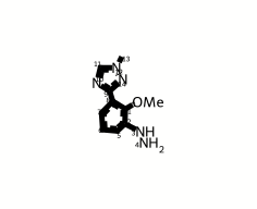 COc1c(NN)cccc1-c1ncn(C)n1